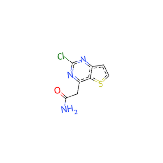 NC(=O)Cc1nc(Cl)nc2ccsc12